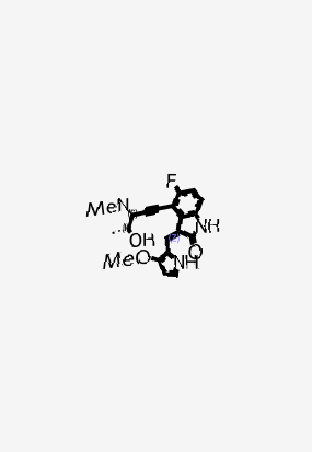 CN[C@H](C#Cc1c(F)ccc2c1/C(=C/c1[nH]ccc1OC)C(=O)N2)[C@@H](C)O